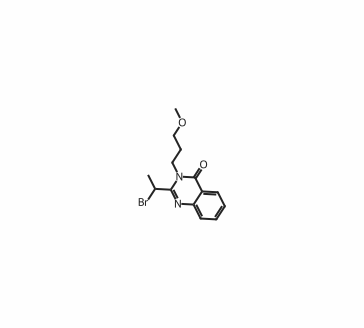 COCCCn1c(C(C)Br)nc2ccccc2c1=O